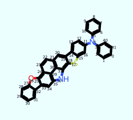 c1ccc(N(c2ccccc2)c2ccc3c(c2)sc2c3cc3ccc4c5oc6ccccc6c5cc5[nH]c2c3c54)cc1